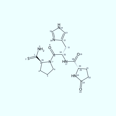 NC(=S)[C@@H]1CCCN1C(=O)[C@H](Cc1c[nH]cn1)NC(=O)[C@@H]1CCC(=O)N1